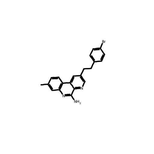 Cc1ccc2c(c1)nc(N)c1ncc(CCc3ccc(Br)cc3)cc12